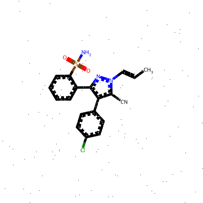 CC=Cn1nc(-c2ccccc2S(N)(=O)=O)c(-c2ccc(Cl)cc2)c1C#N